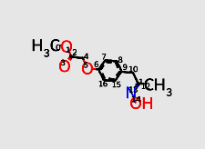 COC(=O)COc1ccc(CC(C)=NO)cc1